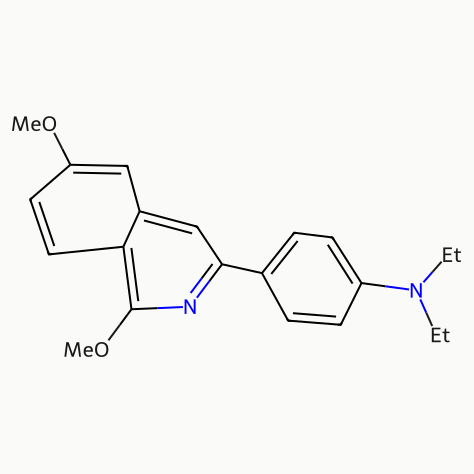 CCN(CC)c1ccc(-c2cc3cc(OC)ccc3c(OC)n2)cc1